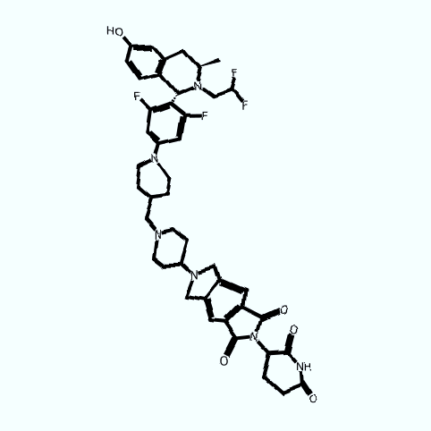 C[C@@H]1Cc2cc(O)ccc2[C@@H](c2c(F)cc(N3CCC(CN4CCC(N5Cc6cc7c(cc6C5)C(=O)N(C5CCC(=O)NC5=O)C7=O)CC4)CC3)cc2F)N1CC(F)F